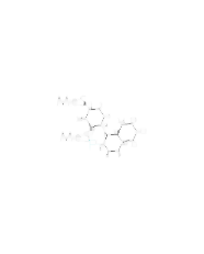 CSc1ccc(-c2c(F)ccc3ccccc23)c(SC)c1